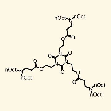 CCCCCCCCN(CCCCCCCC)CCC(=O)OCCn1c(=O)n(CCOC(=O)CCN(CCCCCCCC)CCCCCCCC)c(=O)n(CCOC(=O)CCN(CCCCCCCC)CCCCCCCC)c1=O